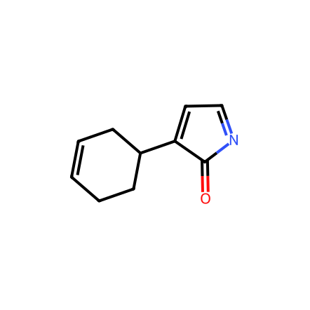 O=C1N=CC=C1C1CC=CCC1